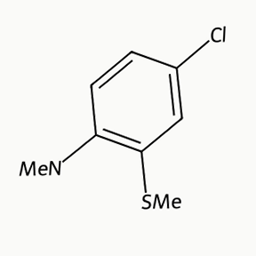 CNc1ccc(Cl)cc1SC